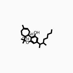 CCCCCC(C)C(C)c1cc(O)c2c(c1)OC(C)(C)[C@@H]1CCC(C)=CC[C@@H]21